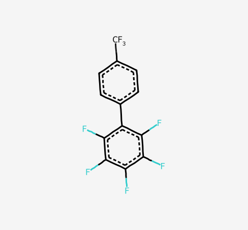 Fc1c(F)c(F)c(-c2ccc(C(F)(F)F)cc2)c(F)c1F